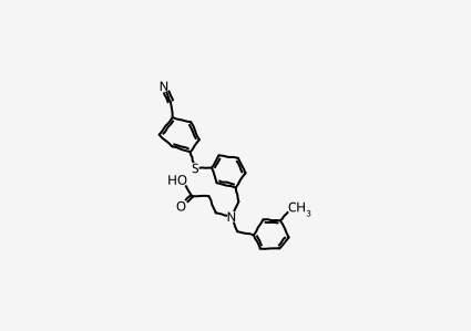 Cc1cccc(CN(CCC(=O)O)Cc2cccc(Sc3ccc(C#N)cc3)c2)c1